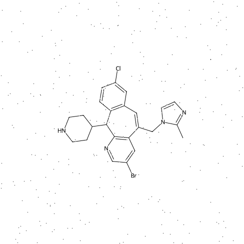 Cc1nccn1CC1=Cc2cc(Cl)ccc2C(C2CCNCC2)c2ncc(Br)cc21